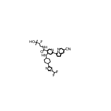 CC(C)(O)[C@H](F)CNC(=O)c1cnc(-c2ccc3cc(C#N)cnn23)cc1NC1CCC(c2cn(C(F)F)cn2)CC1